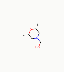 C[C@@H]1CN(CO)C[C@H](C)O1